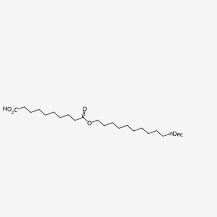 CCCCCCCCCCCCCCCCCCCCOC(=O)CCCCCCCCC(=O)O